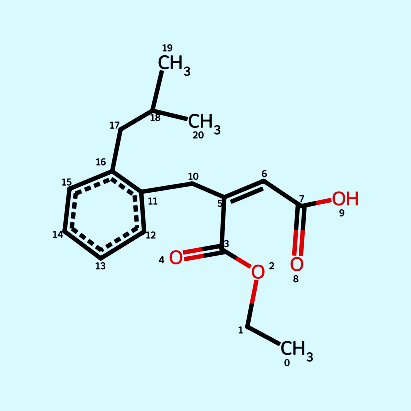 CCOC(=O)/C(=C\C(=O)O)Cc1ccccc1CC(C)C